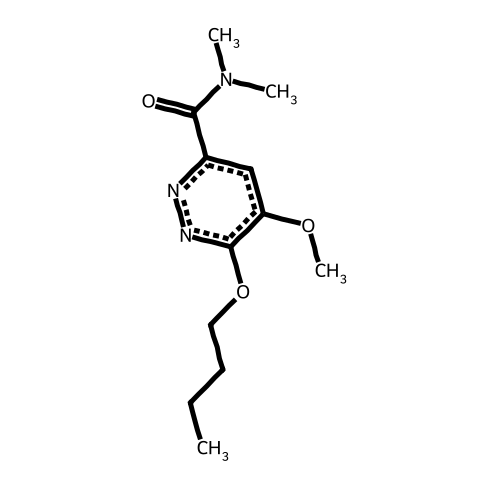 CCCCOc1nnc(C(=O)N(C)C)cc1OC